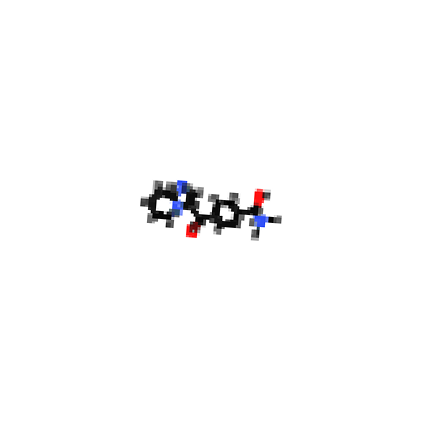 CN(C)C(=O)c1ccc(C(=O)c2cnc3ccccn23)cc1